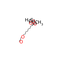 CO[Si](CCCCCCCCOCC1CO1)(OC)OC